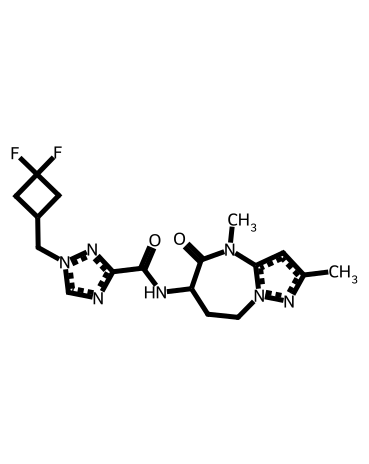 Cc1cc2n(n1)CCC(NC(=O)c1ncn(CC3CC(F)(F)C3)n1)C(=O)N2C